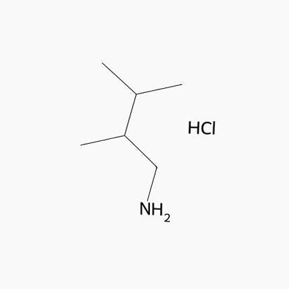 CC(C)C(C)CN.Cl